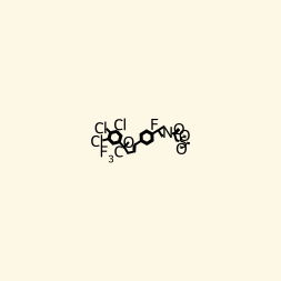 CS(=O)(=O)CC(=O)N1CC(F)(c2ccc(C3=CCC(c4cc(Cl)c(Cl)c(Cl)c4)(C(F)(F)F)O3)cc2)C1